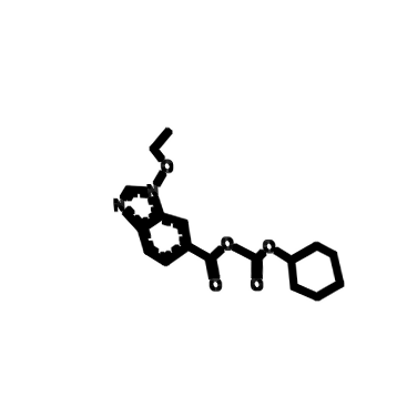 CCOn1cnc2ccc(C(=O)OC(=O)OC3CCCCC3)cc21